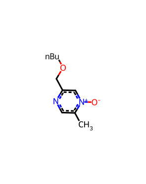 CCCCOCc1c[n+]([O-])c(C)cn1